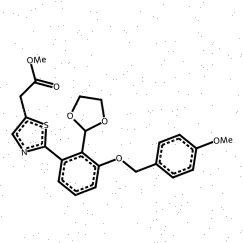 COC(=O)Cc1cnc(-c2cccc(OCc3ccc(OC)cc3)c2C2OCCO2)s1